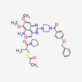 CCC(=O)SCC(C)C(=O)N1CCC[C@H]1C(=O)c1nc(N2CCN(C(=O)c3ccc(OCc4ccccc4)cc3)CC2)nc2cc(OC)c(OC)c(N)c12